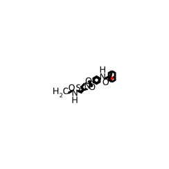 C=CC(=O)Nc1cc2c(s1)CN(S(=O)(=O)c1ccc(NC(=O)C34CC5CC(CC(C5)C3)C4)cc1)C2